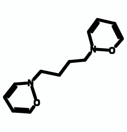 C1=CON(CCCCN2C=CC=CO2)C=C1